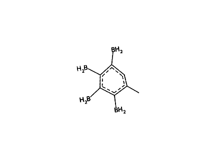 Bc1cc(C)c(B)c(B)c1B